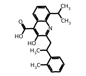 Cc1ccccc1C(C)Cc1nc2c(C(C)C)cccc2c(C(=O)O)c1O